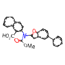 COC(=O)N(c1cc2cc(-c3ccccc3)ccc2o1)c1ccc2ccccc2c1C(=O)O